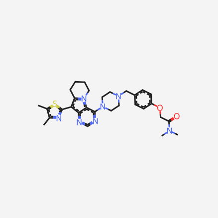 Cc1nc(-c2c3n(c4c(N5CCN(Cc6ccc(OCC(=O)N(C)C)cc6)CC5)ncnc24)CCCC3)sc1C